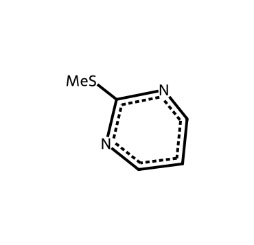 CSc1ncccn1